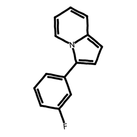 Fc1cccc(-c2ccc3ccccn23)c1